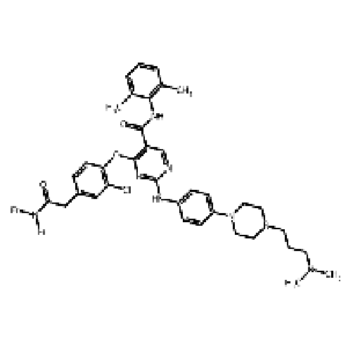 CCN(CC)C(=O)Cc1ccc(Oc2nc(Nc3ccc(N4CCN(CCCN(C)C)CC4)cc3)ncc2C(=O)Nc2c(C)cccc2C)c(Cl)c1